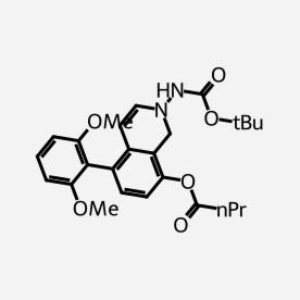 CCCC(=O)Oc1ccc(-c2c(OC)cccc2OC)c2c1CN(NC(=O)OC(C)(C)C)C=C2